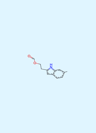 Cc1ccc2cc(CCOC=O)[nH]c2c1